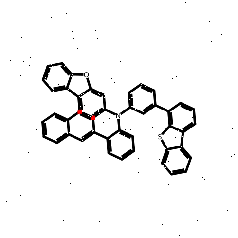 c1cc(-c2cccc3c2sc2ccccc23)cc(N(c2ccc3c(c2)oc2ccccc23)c2ccccc2-c2ccc3ccccc3c2)c1